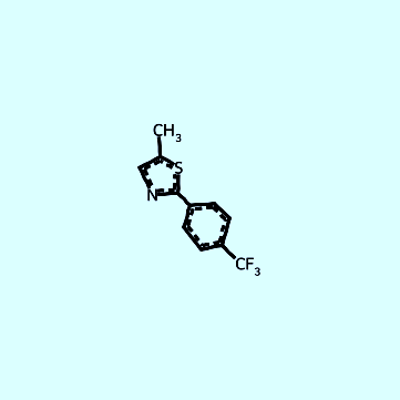 Cc1cnc(-c2ccc(C(F)(F)F)cc2)s1